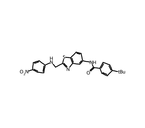 CC(C)(C)c1ccc(C(=O)Nc2ccc3sc(CNc4ccc([N+](=O)[O-])cc4)nc3c2)cc1